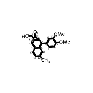 COc1ccc(-c2c3c(CO)c(c4ccc(C)cc24)OC3=O)cc1OC